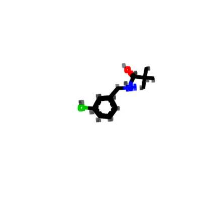 CC(C)(C)C(=O)NCc1cccc(Cl)c1